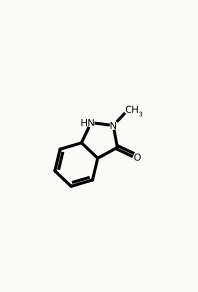 CN1NC2C=CC=CC2C1=O